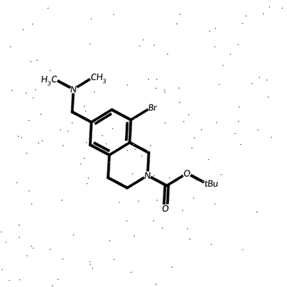 CN(C)Cc1cc(Br)c2c(c1)CCN(C(=O)OC(C)(C)C)C2